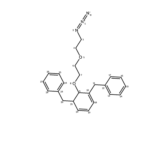 [N-]=[N+]=NCCOCCOC1C(Cc2ccccc2)=CC=CC1Cc1ccccc1